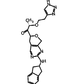 C[C@H](OCCc1c[nH]nn1)C(=O)C1Cc2cnc(NC3Cc4ccccc4C3)nc2CO1